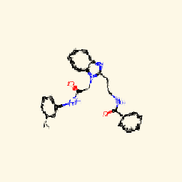 CC(C)c1cccc(NC(=O)Cn2c(CCNC(=O)c3ccccc3)nc3ccccc32)c1